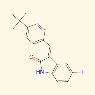 CC(C)(C)c1ccc(C=C2C(=O)Nc3ccc(I)cc32)cc1